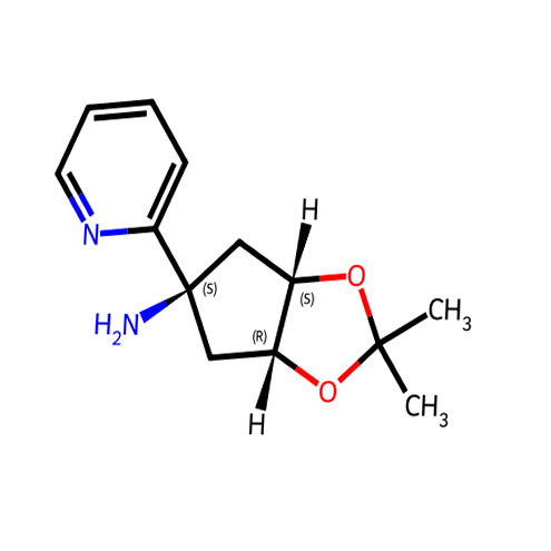 CC1(C)O[C@H]2C[C@@](N)(c3ccccn3)C[C@H]2O1